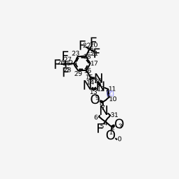 COC(=O)C1(F)CN(C(=O)/C=C\n2cnc(-c3cc(C(F)(F)F)cc(C(F)(F)F)c3)n2)C1